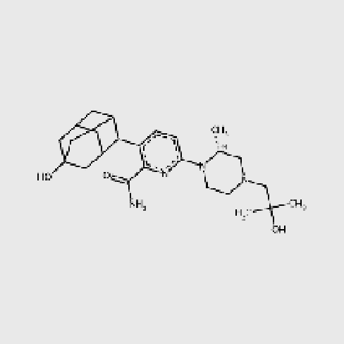 C[C@@H]1CN(CC(C)(C)O)CCN1c1ccc(C2C3CC4CC2CC(O)(C4)C3)c(C(N)=O)n1